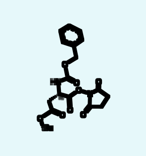 CC(C)(C)OC(=O)C[C@H](NC(=O)OCc1ccccc1)C(=O)ON1C(=O)CCC1=O